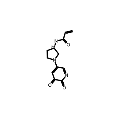 C=CC(=O)N[C@@H]1CCN(C2=CC(=O)C(=O)N=C2)C1